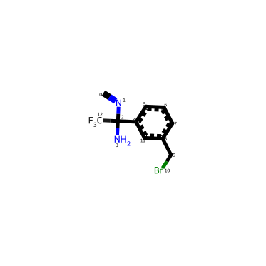 C=NC(N)(c1cccc(CBr)c1)C(F)(F)F